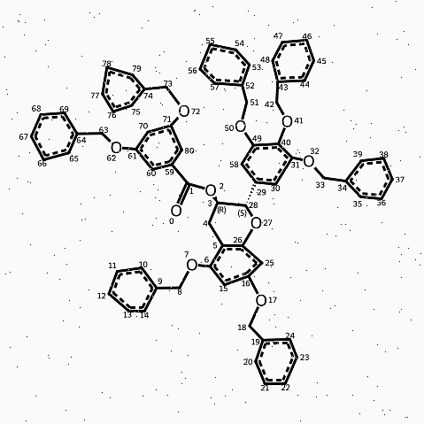 O=C(O[C@@H]1Cc2c(OCc3ccccc3)cc(OCc3ccccc3)cc2O[C@H]1c1cc(OCc2ccccc2)c(OCc2ccccc2)c(OCc2ccccc2)c1)c1cc(OCc2ccccc2)cc(OCc2ccccc2)c1